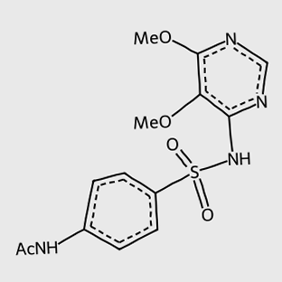 COc1ncnc(NS(=O)(=O)c2ccc(NC(C)=O)cc2)c1OC